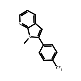 Cn1c(-c2ccc(C(F)(F)F)cc2)cc2cccnc21